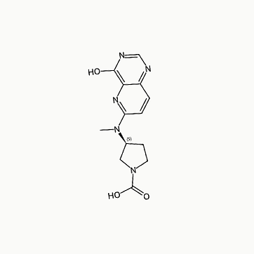 CN(c1ccc2ncnc(O)c2n1)[C@H]1CCN(C(=O)O)C1